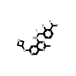 Cc1nc(N[C@H](C)c2cccc(C(F)F)c2F)c2cc(OC3COC3)ncc2n1